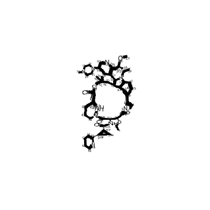 CCO[C@@H]1c2nc(cs2)-c2ccc3c(c2)c(c(-c2cc(N4CCN(C)CC4)cnc2[C@H](C)OC)n3CC)CC(C)(C)COC(=O)[C@@H]2CCCN(N2)C(=O)[C@H]1NC(=O)[C@@H]1C[C@H]1c1ccccn1